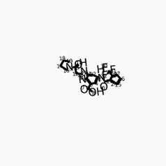 O=C(Nc1cc(C(=O)O)c2nc(CC(=O)N3CCCC3)[nH]c2c1)c1ccccc1C(F)(F)F